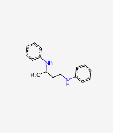 C[C](CCNc1ccccc1)Nc1ccccc1